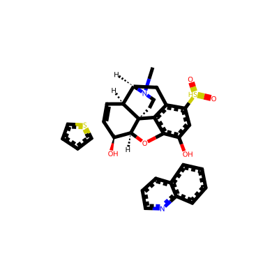 CN1CC[C@]23c4c5c([SH](=O)=O)cc(O)c4O[C@H]2[C@@H](O)C=C[C@H]3[C@H]1C5.c1ccc2ncccc2c1.c1ccsc1